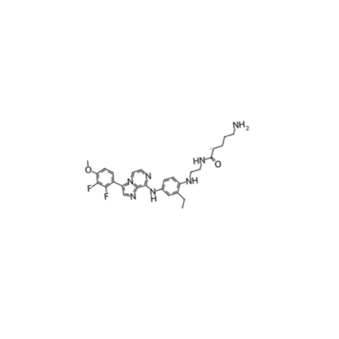 CCc1cc(Nc2nccn3c(-c4ccc(OC)c(F)c4F)cnc23)ccc1NCCNC(=O)[CH]CCCN